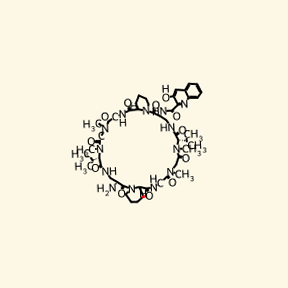 CC(C)[C@H]1C(=O)NC[C@@H](NC(=O)c2nc3ccccc3cc2O)C(=O)N2CCCC[C@H]2C(=O)NCC(=O)N(C)CC(=O)N(C)[C@@H](C(C)C)C(=O)NC[C@@H](N)C(=O)N2CCCC[C@H]2C(=O)NCC(=O)N(C)CC(=O)N1C